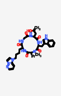 C=C(O)CC1NC(=O)CNC(=O)C(CCCCn2cc[n+]3ncccc23)NC(=O)C(C(C)C)N(C)C(=O)C(Cc2c[nH]c3ccccc23)NC1=O